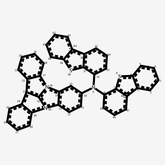 c1ccc2c(c1)sc1c(N(c3ccc4c(c3)n3c5ccccc5c5c6ccccc6n4c53)c3cccc4c3sc3ccccc34)cccc12